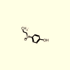 [CH2]CC[S+]([O-])c1ccc(O)cc1